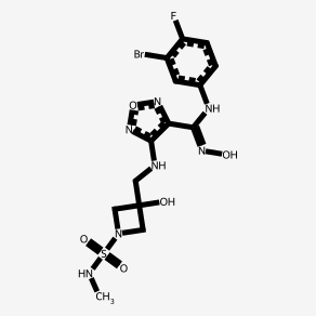 CNS(=O)(=O)N1CC(O)(CNc2nonc2/C(=N/O)Nc2ccc(F)c(Br)c2)C1